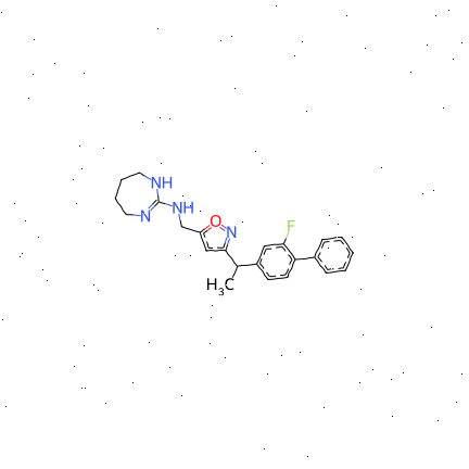 CC(c1ccc(-c2ccccc2)c(F)c1)c1cc(CNC2=NCCCCN2)on1